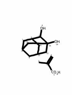 C=C(C)C(=O)O.OC1C2CC3CC(C2)CC1(O)C3